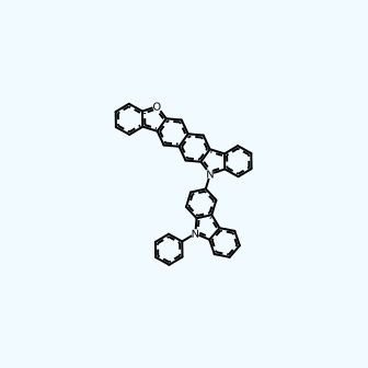 c1ccc(-n2c3ccccc3c3cc(-n4c5ccccc5c5cc6cc7oc8ccccc8c7cc6cc54)ccc32)cc1